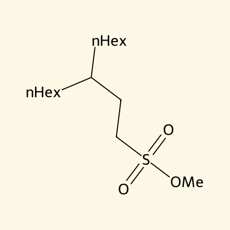 CCCCCCC(CCCCCC)CCS(=O)(=O)OC